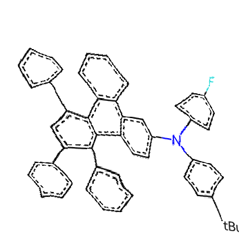 CC(C)(C)c1ccc(N(c2ccc(F)cc2)c2ccc3c(c2)c2ccccc2c2c(-c4ccccc4)cc(-c4ccccc4)c(-c4ccccc4)c32)cc1